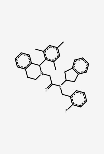 Cc1cc(C)c(C2c3ccccc3CCN2CC(=O)N(Cc2ccccc2F)C2Cc3ccccc3C2)c(C)c1